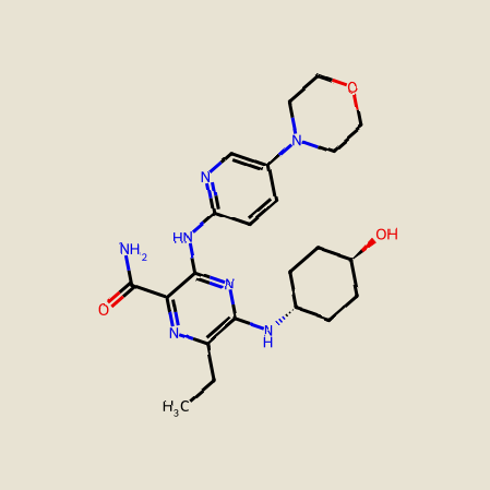 CCc1nc(C(N)=O)c(Nc2ccc(N3CCOCC3)cn2)nc1N[C@H]1CC[C@H](O)CC1